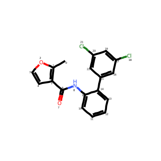 Cc1occc1C(=O)Nc1ccccc1-c1cc(Cl)cc(Cl)c1